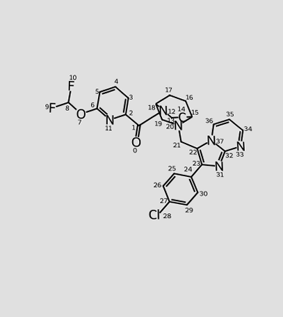 O=C(c1cccc(OC(F)F)n1)N1CCC2CCC1CN2Cc1c(-c2ccc(Cl)cc2)nc2ncccn12